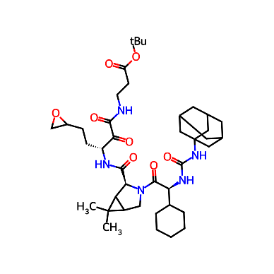 CC(C)(C)OC(=O)CCNC(=O)C(=O)[C@@H](CCC1CO1)NC(=O)[C@@H]1C2C(CN1C(=O)[C@@H](NC(=O)NC13CC4CC(CC(C4)C1)C3)C1CCCCC1)C2(C)C